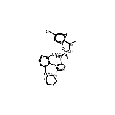 COc1cccc(OC)c1-n1c(NS(=O)(=O)[C@@H](C)[C@H](C)c2ncc(Cl)cn2)nnc1[C@@H]1CCCOC1